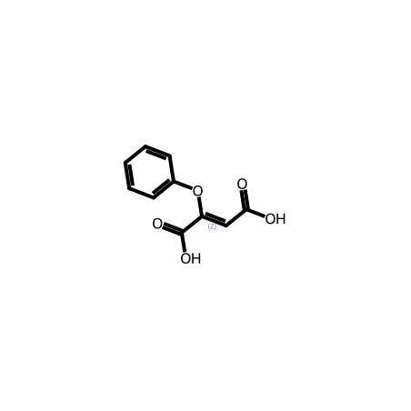 O=C(O)/C=C(\Oc1ccccc1)C(=O)O